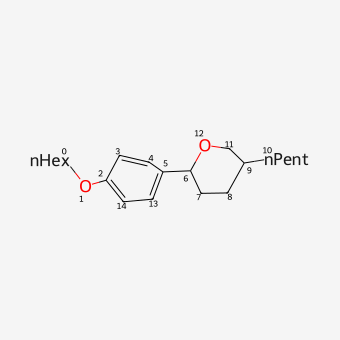 CCCCCCOc1ccc(C2CCC(CCCCC)CO2)cc1